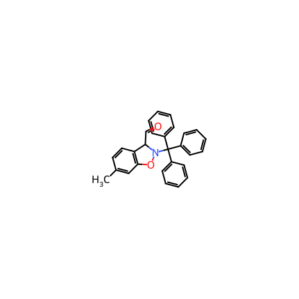 Cc1ccc2c(c1)ON(C(c1ccccc1)(c1ccccc1)c1ccccc1)C2C=O